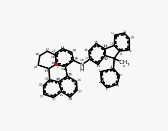 CC1(c2ccccc2)c2ccccc2-c2ccc(Nc3ccccc3-c3cccc4cccc(C5CCCCC5)c34)cc21